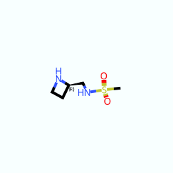 CS(=O)(=O)NC[C@H]1CCN1